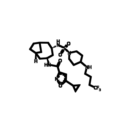 O=C(N[C@H]1C[C@@H]2CCC(C2)C[C@H](NS(=O)(=O)N2CCC(NCCCC(F)(F)F)CC2)C1)c1cc(C2CC2)on1